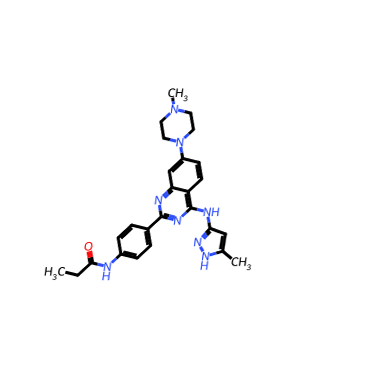 CCC(=O)Nc1ccc(-c2nc(Nc3cc(C)[nH]n3)c3ccc(N4CCN(C)CC4)cc3n2)cc1